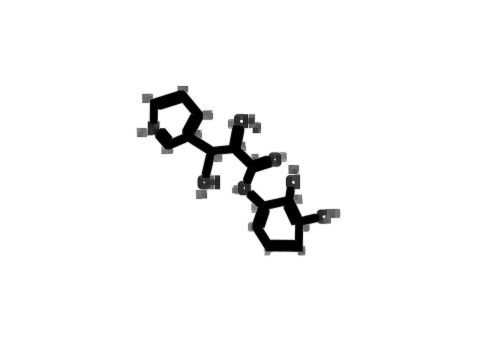 C=C(C(=O)Oc1cccc(Cl)c1Cl)C(O)c1cccnc1